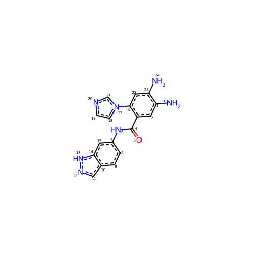 Nc1cc(C(=O)Nc2ccc3cn[nH]c3c2)c(-n2ccnc2)cc1N